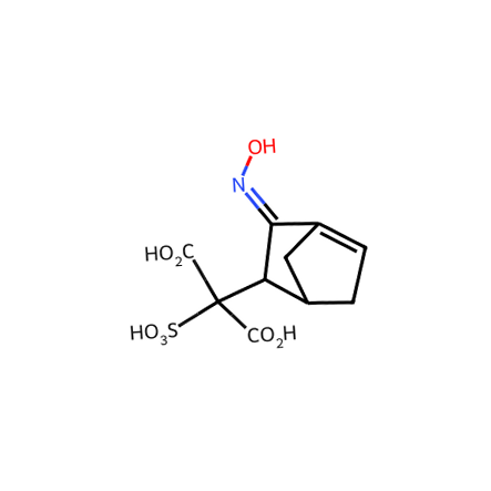 O=C(O)C(C(=O)O)(C1C(=NO)C2=CCC1C2)S(=O)(=O)O